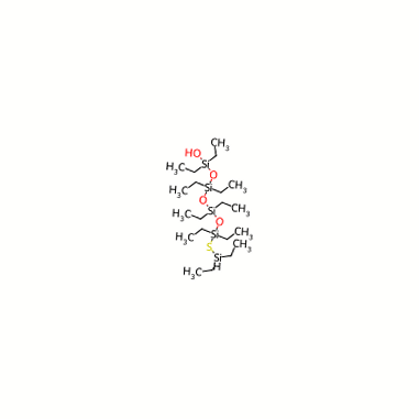 CC[SiH](CC)S[Si](CC)(CC)O[Si](CC)(CC)O[Si](CC)(CC)O[Si](O)(CC)CC